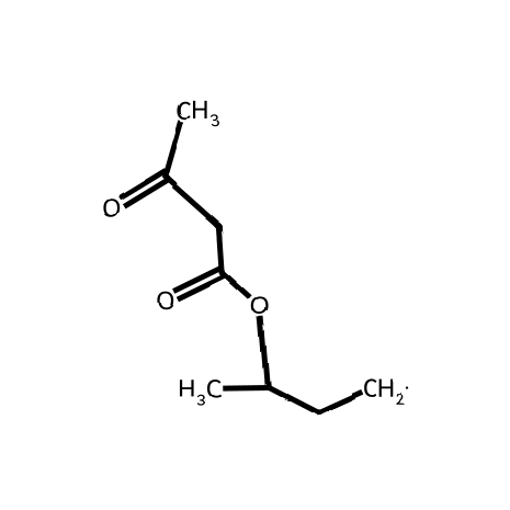 [CH2]CC(C)OC(=O)CC(C)=O